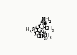 C\C=C/C(C(=C\C)/C(=C/NCN)CNC)=C(C)/N=C\C